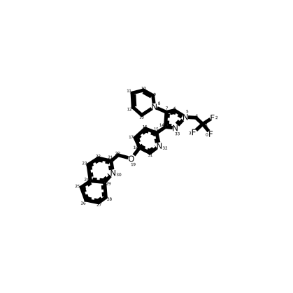 FC(F)(F)Cn1cc(N2C=CC=CC2)c(-c2ccc(OCc3ccc4ccccc4n3)cn2)n1